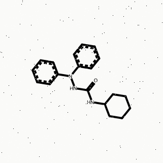 O=C(NC1CCCCC1)NN(c1ccccc1)c1ccccc1